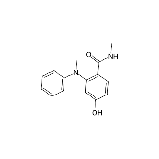 CNC(=O)c1ccc(O)cc1N(C)c1ccccc1